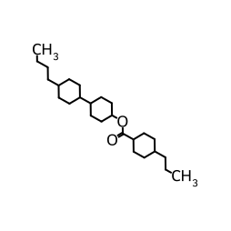 CCCCC1CCC(C2CCC(OC(=O)C3CCC(CCC)CC3)CC2)CC1